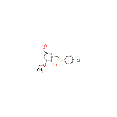 CCOc1cc(C=O)cc(CSc2ccc(Cl)cc2)c1O